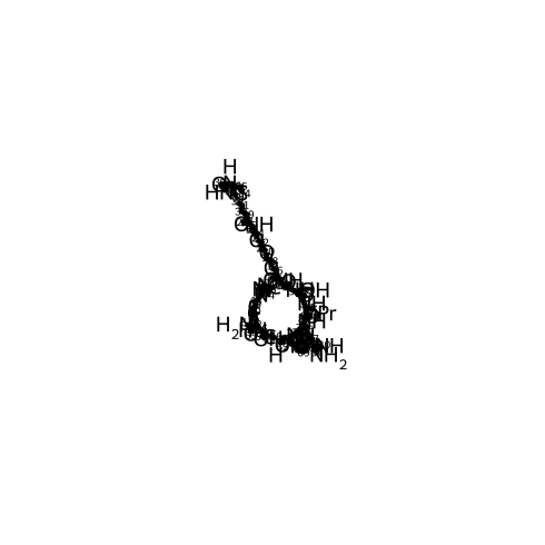 CC(C)CC1NC(=O)C(CO)NC(=O)C(NC(=O)COCCOCCOCCNC(=O)CCCC[C@H]2SCC3NC(=O)NC32)Cc2cn(nn2)CCCCC(C(N)=O)NC(=O)CNC(=O)C(Cc2ccccc2)NC(=O)C(CCCNC(=N)N)NC1=O